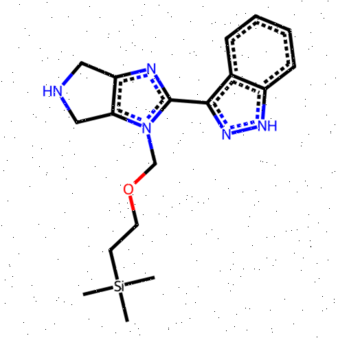 C[Si](C)(C)CCOCn1c(-c2n[nH]c3ccccc23)nc2c1CNC2